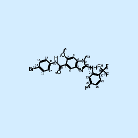 COc1cc2c(cc1C(=O)Nc1ccc(Br)cc1)nc(Nc1cc(F)ccc1C(F)(F)F)n2C